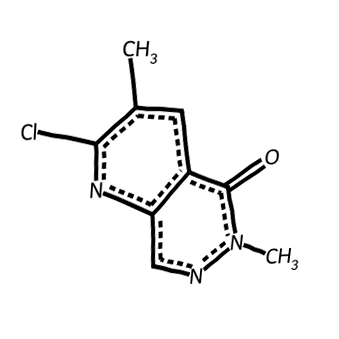 Cc1cc2c(=O)n(C)ncc2nc1Cl